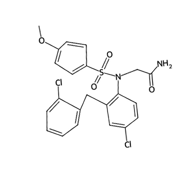 COc1ccc(S(=O)(=O)N(CC(N)=O)c2ccc(Cl)cc2Cc2ccccc2Cl)cc1